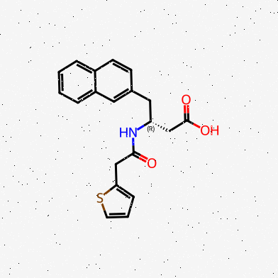 O=C(O)C[C@@H](Cc1ccc2ccccc2c1)NC(=O)Cc1cccs1